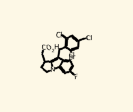 O=C(O)CC1CCn2c1c(Cc1c(Cl)cc(Cl)cc1Cl)c1c(Br)cc(F)cc12